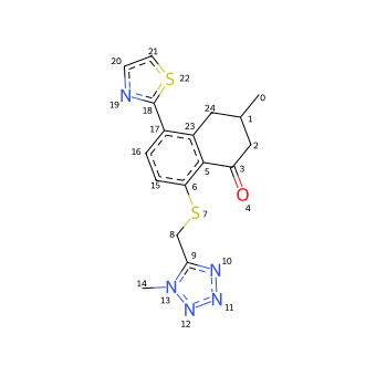 CC1CC(=O)c2c(SCc3nnnn3C)ccc(-c3nccs3)c2C1